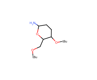 CC(C)(C)OCC1OC(N)CCC1OC(C)(C)C